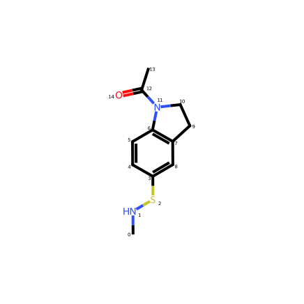 CNSc1ccc2c(c1)CCN2C(C)=O